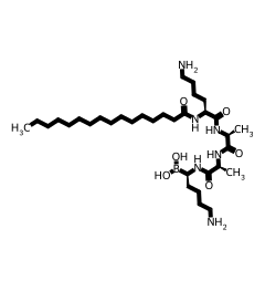 CCCCCCCCCCCCCCCC(=O)N[C@@H](CCCCN)C(=O)N[C@@H](C)C(=O)N[C@@H](C)C(=O)N[C@@H](CCCCN)B(O)O